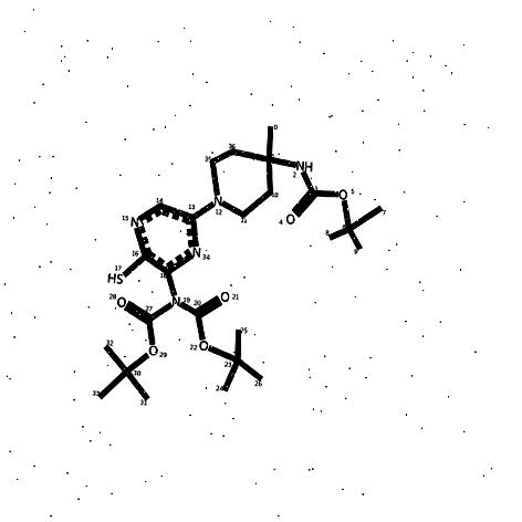 CC1(NC(=O)OC(C)(C)C)CCN(c2cnc(S)c(N(C(=O)OC(C)(C)C)C(=O)OC(C)(C)C)n2)CC1